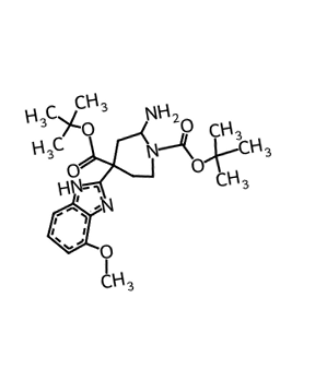 COc1cccc2[nH]c(C3(C(=O)OC(C)(C)C)CCN(C(=O)OC(C)(C)C)C(N)C3)nc12